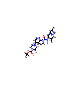 Cc1cc2cc(NC(=O)N3CCc4c(N5CCN(C(=O)OC(C)(C)C)[C@@H](C)C5)ccnc43)c(C)cn2n1